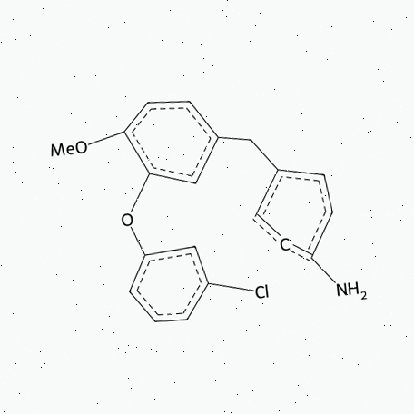 COc1ccc(Cc2ccc(N)cc2)cc1Oc1cccc(Cl)c1